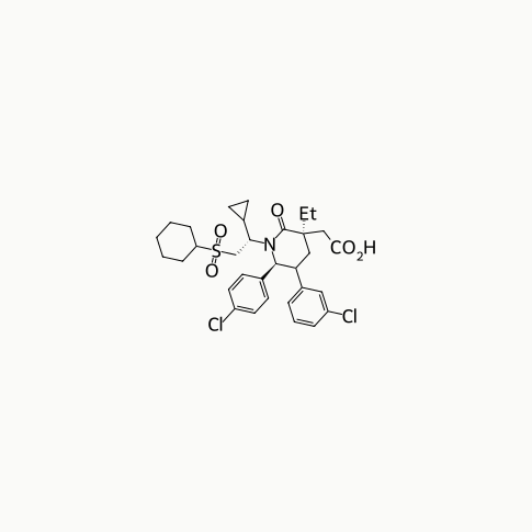 CC[C@]1(CC(=O)O)CC(c2cccc(Cl)c2)[C@@H](c2ccc(Cl)cc2)N([C@H](CS(=O)(=O)C2CCCCC2)C2CC2)C1=O